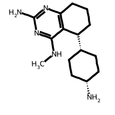 CNc1nc(N)nc2c1C([C@H]1CC[C@@H](N)CC1)CCC2